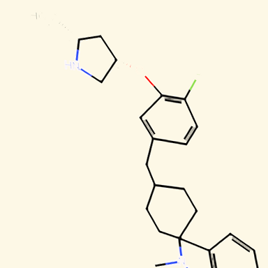 CN(C)C1(c2ccccc2)CCC(Cc2ccc(F)c(O[C@@H]3CN[C@H](C(=O)O)C3)c2)CC1